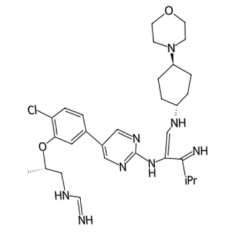 CC(C)C(=N)/C(=C\N[C@H]1CC[C@H](N2CCOCC2)CC1)Nc1ncc(-c2ccc(Cl)c(O[C@@H](C)CNC=N)c2)cn1